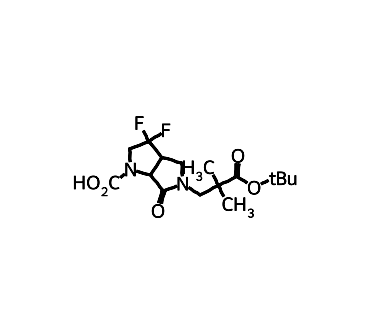 CC(C)(C)OC(=O)C(C)(C)CN1CC2C(C1=O)N(C(=O)O)CC2(F)F